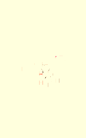 CC(C)(C)c1cc(COP)cc(C(C)(C)C)c1O